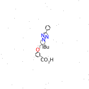 CCC(C)C1(CCOc2cccc(CC(=O)O)c2)CCN(c2ncc(-c3ccccc3)cn2)CC1